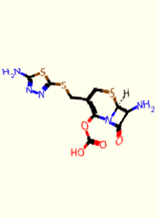 Nc1nnc(SCC2=C(OC(=O)O)N3C(=O)C(N)[C@@H]3SC2)s1